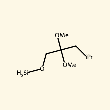 COC(CO[SiH3])(CC(C)C)OC